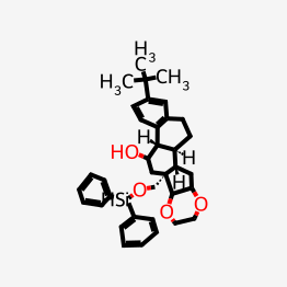 CC(C)(C)c1ccc2c(c1)CC[C@@H]1[C@@H]2C(O)C[C@]2(CO[SiH](c3ccccc3)c3ccccc3)C3OCCOC3C[C@@H]12